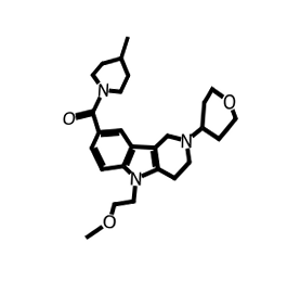 COCCn1c2c(c3cc(C(=O)N4CCC(C)CC4)ccc31)CN(C1CCOCC1)CC2